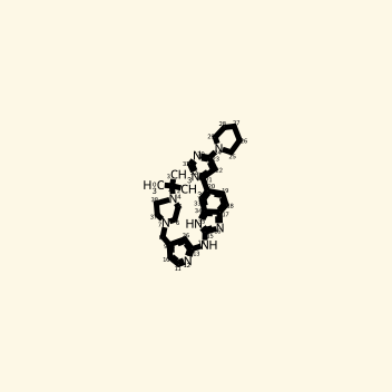 CC(C)(C)N1CCN(Cc2ccnc(Nc3nc4ccc(-c5cc(N6CCCCC6)ncn5)cc4[nH]3)c2)CC1